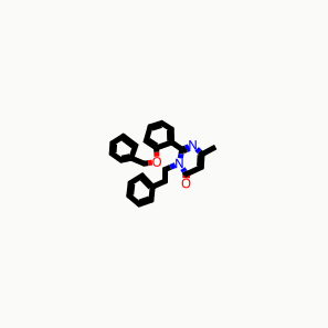 Cc1cc(=O)n(CCc2ccccc2)c(-c2ccccc2OCc2ccccc2)n1